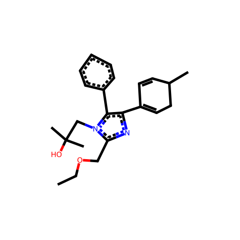 CCOCc1nc(C2=CCC(C)C=C2)c(-c2ccccc2)n1CC(C)(C)O